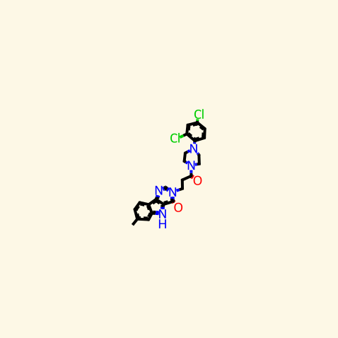 Cc1ccc2c(c1)[nH]c1c(=O)n(CCC(=O)N3CCN(c4ccc(Cl)cc4Cl)CC3)cnc12